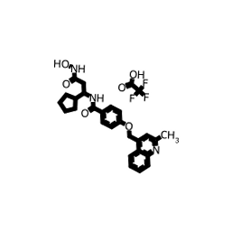 Cc1cc(COc2ccc(C(=O)NC(CC(=O)NO)C3CCCC3)cc2)c2ccccc2n1.O=C(O)C(F)(F)F